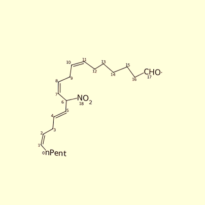 CCCCC/C=C\C/C=C/C(/C=C\C/C=C\CCCCC[C]=O)[N+](=O)[O-]